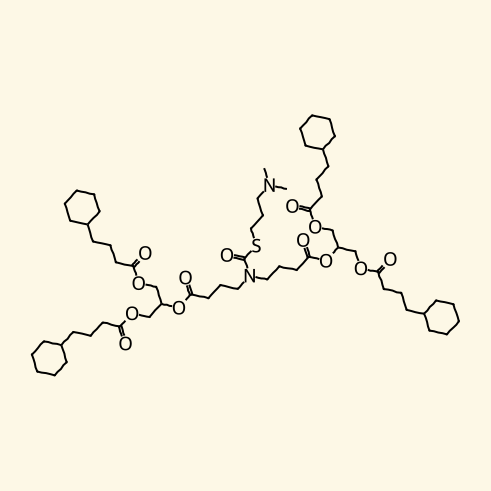 CN(C)CCCSC(=O)N(CCCC(=O)OC(COC(=O)CCCC1CCCCC1)COC(=O)CCCC1CCCCC1)CCCC(=O)OC(COC(=O)CCCC1CCCCC1)COC(=O)CCCC1CCCCC1